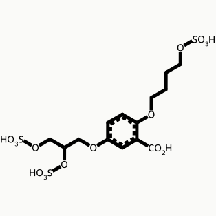 O=C(O)c1cc(OCC(COS(=O)(=O)O)OS(=O)(=O)O)ccc1OCCCCOS(=O)(=O)O